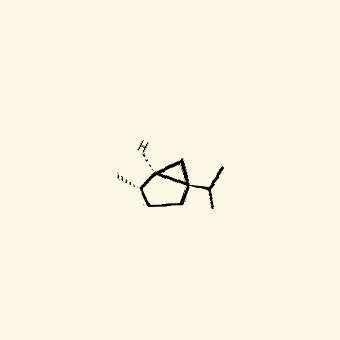 CC(C)[C@@]12C[CH][C@H](C)[C@H]1C2